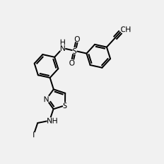 C#Cc1cccc(S(=O)(=O)Nc2cccc(-c3csc(NCI)n3)c2)c1